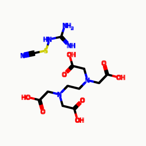 N#CSNC(=N)N.O=C(O)CN(CCN(CC(=O)O)CC(=O)O)CC(=O)O